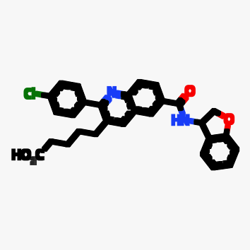 O=C(O)CCCCc1cc2cc(C(=O)NC3COc4ccccc43)ccc2nc1-c1ccc(Cl)cc1